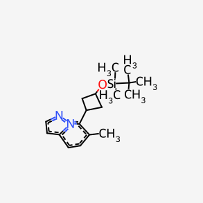 Cc1ccc2ccnn2c1C1CC(O[Si](C)(C)C(C)(C)C)C1